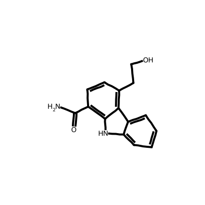 NC(=O)c1ccc(CCO)c2c1[nH]c1ccccc12